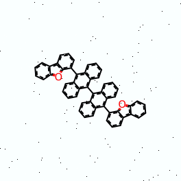 c1ccc2c(c1)oc1c(-c3c4ccccc4c(-c4c5ccccc5c(-c5cccc6c5oc5ccccc56)c5ccccc45)c4ccccc34)cccc12